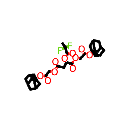 CC(F)(F)C(=O)OC(CC(=O)OCC(=O)OC12CC3CC(CC(C3)C1)C2)C(=O)OCC(=O)OC12CC3CC(CC(C3)C1)C2